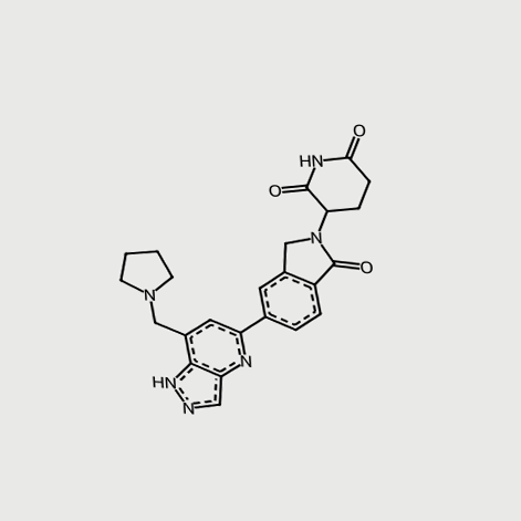 O=C1CCC(N2Cc3cc(-c4cc(CN5CCCC5)c5[nH]ncc5n4)ccc3C2=O)C(=O)N1